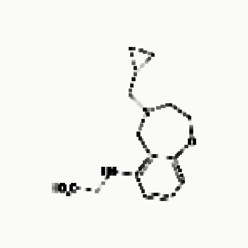 O=C(O)CNc1cccc2c1CN(CC1CC1)CCO2